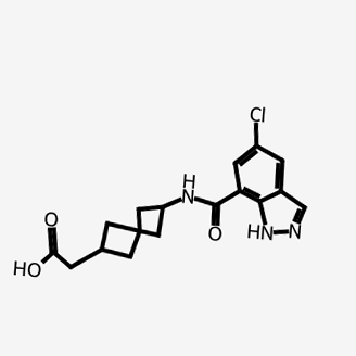 O=C(O)CC1CC2(C1)CC(NC(=O)c1cc(Cl)cc3cn[nH]c13)C2